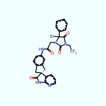 CCC1(c2ccccc2)C(=O)N(CC(F)(F)F)C(=O)N1CC(=O)Nc1ccc2c(c1)C[C@@]1(C2)C(=O)Nc2ncccc21